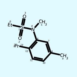 CCS(=O)(=O)N(C)c1cc(C)ccc1C(C)C